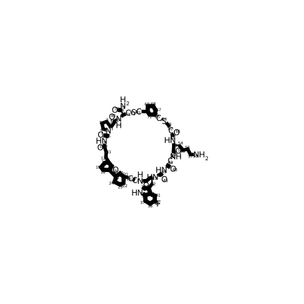 C[C@@]12CCCN1C(=O)NC(=O)CCc1cccc3c1oc1c(cccc13)CCNC(=O)[C@H](Cc1c[nH]c3ccc(F)cc13)NC(=O)NC(=O)CNC(=O)[C@H](CCCCN)NC(=O)CCSCc1cccc(c1)CSC[C@H](C(N)=O)NC2=O